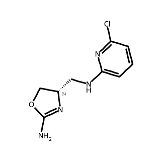 NC1=N[C@@H](CNc2cccc(Cl)n2)CO1